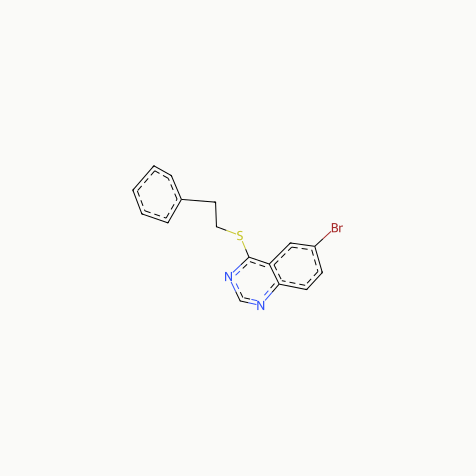 Brc1ccc2ncnc(SCCc3ccccc3)c2c1